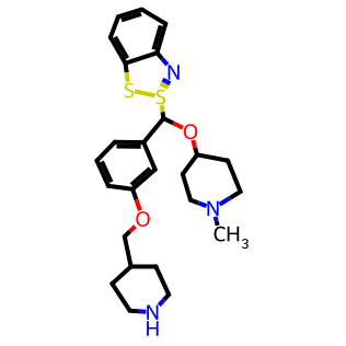 CN1CCC(OC(c2cccc(OCC3CCNCC3)c2)S2=Nc3ccccc3S2)CC1